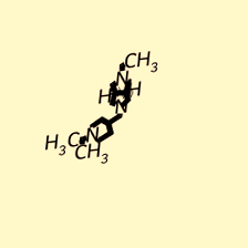 CCN1C[C@@H]2CN(CC3CCN(C(C)C)CC3)C[C@@H]2C1